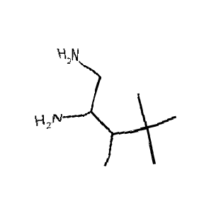 CC(C(N)CN)C(C)(C)C